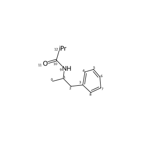 CC(Cc1ccccc1)NC(=O)C(C)C